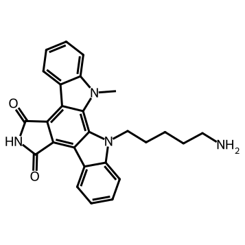 Cn1c2ccccc2c2c3c(c4c5ccccc5n(CCCCCN)c4c21)C(=O)NC3=O